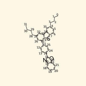 CCCCc1ccc2sc3c(-c4ccc(-c5nc6ccccc6o5)cc4)cc(CCCC)cc3c2c1